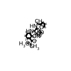 C[C@@H](NC1=NS(=O)(=O)N=C1Nc1cccc(C(=O)N(C)C)c1O)c1ccco1